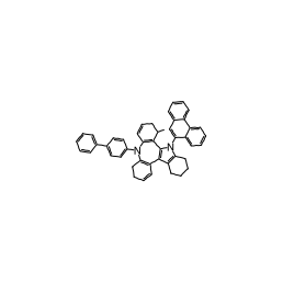 CC1CC=CC2=C1c1c(c3c(n1-c1cc4ccccc4c4ccccc14)CCCC3)C1=C(CCC=C1)N2c1ccc(-c2ccccc2)cc1